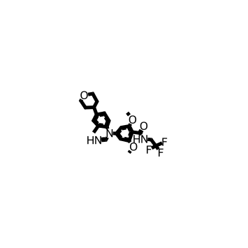 COc1cc(N(C=N)c2ccc(C3CCOCC3)cc2C)cc(OC)c1C(=O)NCC(F)(F)F